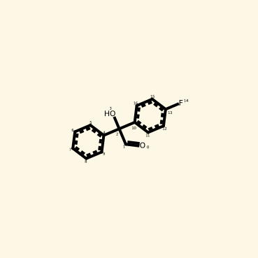 O=CC(O)(c1ccccc1)c1ccc(F)cc1